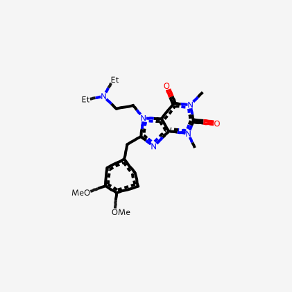 CCN(CC)CCn1c(Cc2ccc(OC)c(OC)c2)nc2c1c(=O)n(C)c(=O)n2C